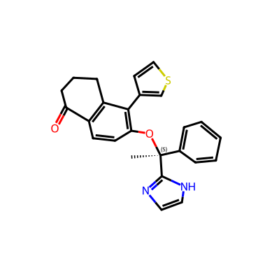 C[C@](Oc1ccc2c(c1-c1ccsc1)CCCC2=O)(c1ccccc1)c1ncc[nH]1